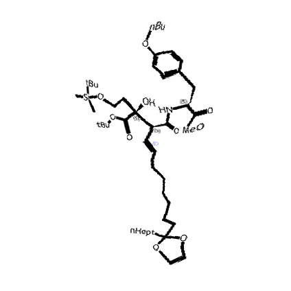 CCCCCCCC1(CCCCCC/C=C/[C@H](C(=O)N[C@@H](Cc2ccc(OCCCC)cc2)C(=O)OC)[C@@](O)(CCO[Si](C)(C)C(C)(C)C)C(=O)OC(C)(C)C)OCCO1